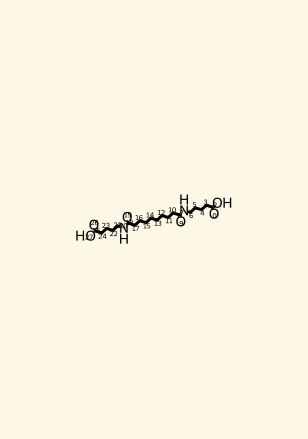 O=C(O)CCCCNC(=O)CCCCCCCCC(=O)NCCCCC(=O)O